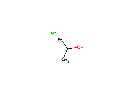 CCC(C)O.Cl